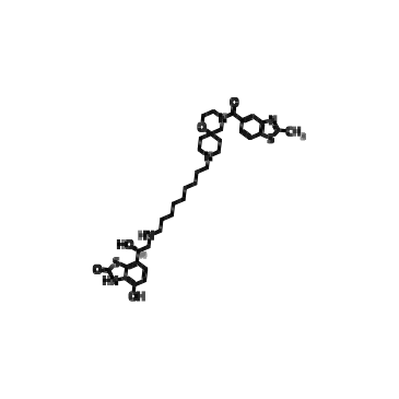 Cc1nc2cc(C(=O)N3CCOC4(CCN(CCCCCCCCCNC[C@H](O)c5ccc(O)c6[nH]c(=O)sc56)CC4)C3)ccc2s1